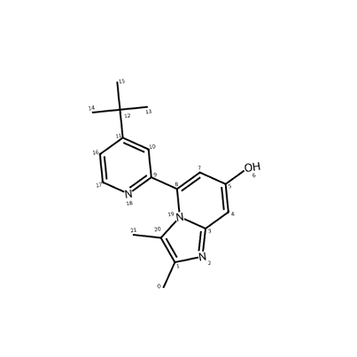 Cc1nc2cc(O)cc(-c3cc(C(C)(C)C)ccn3)n2c1C